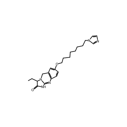 CCC1C(=O)NC2=Nc3ccc(OCCCCCCCCn4ccnc4)cc3CN21